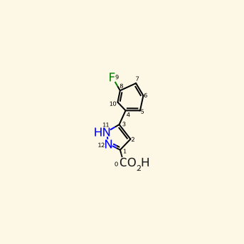 O=C(O)c1cc(-c2cccc(F)c2)[nH]n1